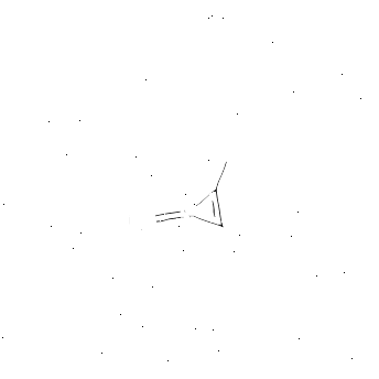 C=[N+]1C=C1C